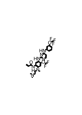 C=CC(=O)Nc1cc(Nc2nccc(Nc3cccc(OC(F)(F)F)c3)n2)c(OC(F)F)cc1N(C)CCN(C)C